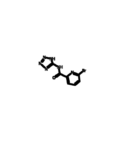 O=C(Nc1nnn[nH]1)c1cccc(Br)n1